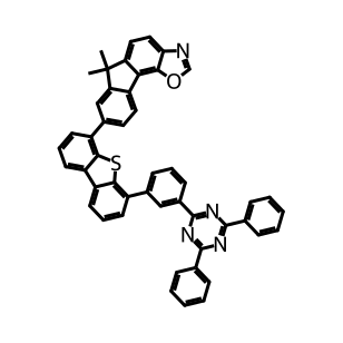 CC1(C)c2cc(-c3cccc4c3sc3c(-c5cccc(-c6nc(-c7ccccc7)nc(-c7ccccc7)n6)c5)cccc34)ccc2-c2c1ccc1ncoc21